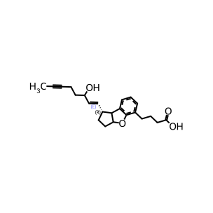 CC#CCCC(O)/C=C/[C@H]1CCC2Oc3c(CCCC(=O)O)cccc3C21